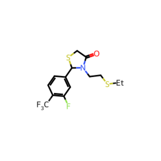 CCSCCN1C(=O)CSC1c1ccc(C(F)(F)F)c(F)c1